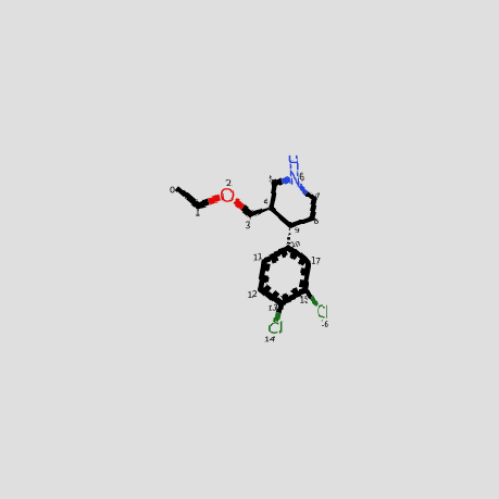 CCOC[C@H]1CNCC[C@@H]1c1ccc(Cl)c(Cl)c1